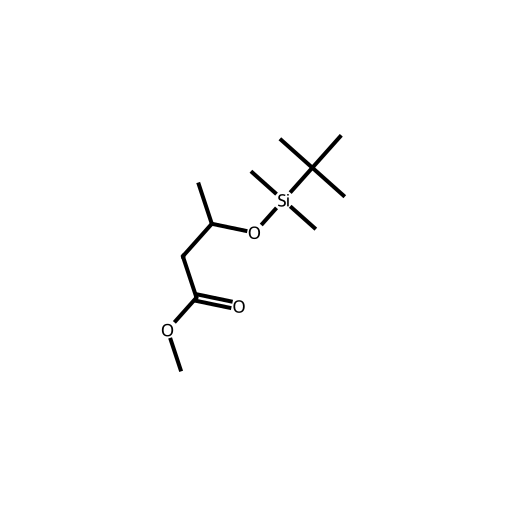 COC(=O)CC(C)O[Si](C)(C)C(C)(C)C